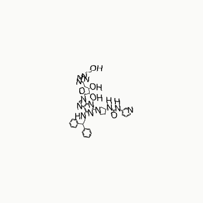 O=C(Nc1cccnc1)N[C@@H]1CCN(c2nc(NCC(c3ccccc3)c3ccccc3)c3ncn(C4OC(c5nnn(CCO)n5)C(O)C4O)c3n2)C1